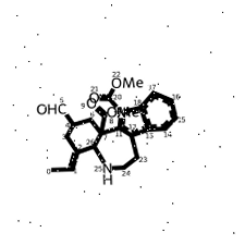 C/C=C1\CC(C=O)CC2(C(=O)OC)c3c(c4ccccc4n3C(=O)OC)CCNC12